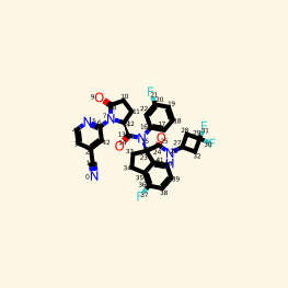 N#Cc1ccnc(N2C(=O)CC[C@H]2C(=O)N(c2cccc(F)c2)[C@]2(C(=O)NC3CC(F)(F)C3)CCc3c(F)cccc32)c1